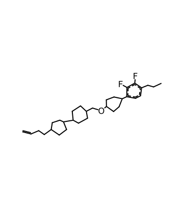 C=CCCC1CCC(C2CCC(COC3CCC(c4ccc(CCC)c(F)c4F)CC3)CC2)CC1